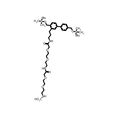 CC(C)(C)[Si](C)(C)OCc1ccc(-c2ccc(CO[Si](C)(C)C(C)(C)C)c(CCCNC(=O)COCCOCCNC(=O)COCCOCCNC(=O)O)c2)cc1